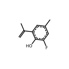 C=C(C)c1cc(C)cc(F)c1O